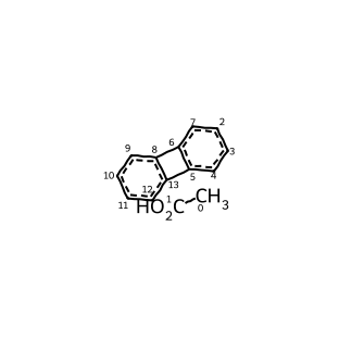 CC(=O)O.c1ccc2c(c1)-c1ccccc1-2